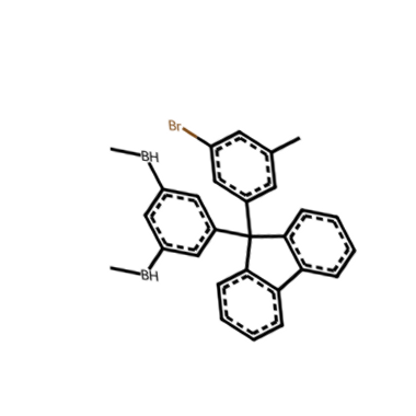 CBc1cc(BC)cc(C2(c3cc(C)cc(Br)c3)c3ccccc3-c3ccccc32)c1